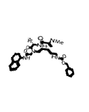 CN[C@@H](C)C(=O)N[C@H](C(=O)N(CCCCCNC(=O)OCc1ccccc1)CC(=O)NC1CCCc2ccccc21)C(C)C